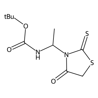 CC(NC(=O)OC(C)(C)C)N1C(=O)CSC1=S